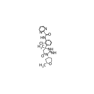 C[C@@H]1C[C@H](N2C(=N)N[C@](C)(c3cccc(NC(=O)c4ncccn4)c3Cl)CC2=O)CCO1